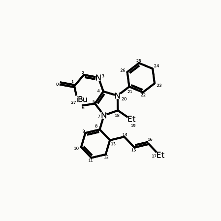 C=C(/C=N\C1=C(C)N(C2=CC=CCC2CC=CCC)C(CC)N1C1=CCCC=C1)C(C)CC